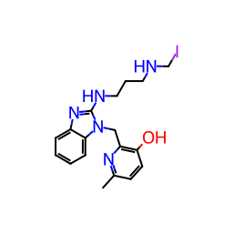 Cc1ccc(O)c(Cn2c(NCCCNCI)nc3ccccc32)n1